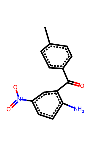 Cc1ccc(C(=O)c2cc([N+](=O)[O-])ccc2N)cc1